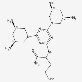 CSCCC(Nc1nc(N2C[C@H](N)C[C@H](N)C2)nc(N2C[C@H](N)C[C@H](N)C2)n1)C(N)=O